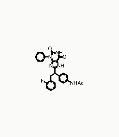 CC(=O)Nc1ccc(C(Cc2ccccc2F)c2nc3c([nH]2)c(=O)[nH]c(=O)n3-c2ccccc2)cc1